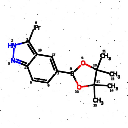 CC(C)c1[nH]nc2ccc(B3OC(C)(C)C(C)(C)O3)cc12